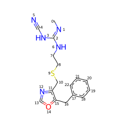 C/N=C(\NC#N)NCCSCc1ncoc1Cc1ccccc1